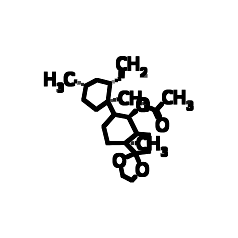 C=C[C@H]1C[C@@H](C)CC[C@]1(C)C1CC[C@@]2(C)C(CCC23OCCO3)[C@@H]1OC(C)=O